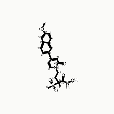 COc1ccc2cc(-c3ccn(CCC(C)(C(=O)NO)S(C)(=O)=O)c(=O)c3)ccc2c1